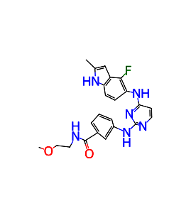 COCCNC(=O)c1cccc(Nc2nccc(Nc3ccc4[nH]c(C)cc4c3F)n2)c1